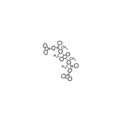 Cc1cc(N(c2ccccc2)c2ccc(-n3c4ccccc4c4ccccc43)cc2)c(C)cc1-c1c2ccccc2c(-c2cc(C)c(N(c3ccccc3)c3ccc(-n4c5ccccc5c5ccccc54)cc3)cc2C)c2ccccc12